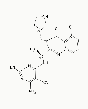 C[C@H](Nc1nc(N)nc(N)c1C#N)c1nc2cccc(Cl)c2c(=O)n1C[C@@H]1CCNC1